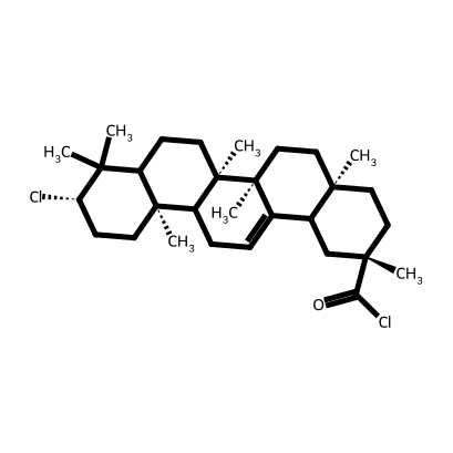 CC1(C)C2CC[C@]3(C)C(CC=C4C5C[C@@](C)(C(=O)Cl)CC[C@]5(C)CC[C@@]43C)[C@@]2(C)CC[C@@H]1Cl